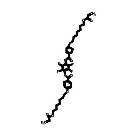 C=CC(=O)OCCCCCCCOc1ccc(C(=O)Oc2c(F)c(F)c(OC(=O)c3ccc(OCCCCCCCOC(=O)C=C)cc3)c(F)c2F)cc1